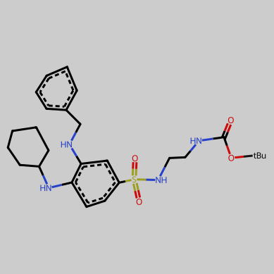 CC(C)(C)OC(=O)NCCNS(=O)(=O)c1ccc(NC2CCCCC2)c(NCc2ccccc2)c1